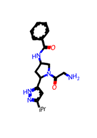 CC(C)c1cc(C2CC(NC(=O)c3ccccc3)CN2C(=O)CN)[nH]n1